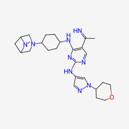 CC(=N)c1cnc(Nc2cnn(C3CCOCC3)c2)nc1NC1CCC(N2CC3CC(C2)N3C)CC1